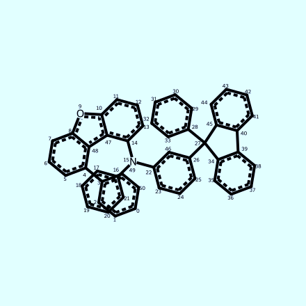 c1ccc(-c2cccc3oc4cccc(N(c5ccccc5)c5cccc(C6(c7ccccc7)c7ccccc7-c7ccccc76)c5)c4c23)cc1